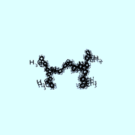 CC1(C)c2ccccc2-c2ccc(-c3ccc4c5ccc(-c6ccc7c(c6)C(C)(C)c6ccccc6-7)cc5c5nc(-c6cccc(-c7ccc8oc9ccc(-c%10cccc(-c%11cnc%12c%13cc(-c%14ccc%15c(c%14)C(C)(C)c%14ccccc%14-%15)ccc%13c%13ccc(-c%14ccc%15c(c%14)C(C)(C)c%14ccccc%14-%15)cc%13c%12n%11)c%10)cc9c8c7)c6)cnc5c4c3)cc21